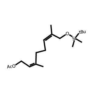 CC(=O)OCC=C(C)CCC=C(C)CO[Si](C)(C)C(C)(C)C